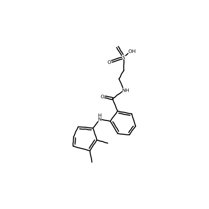 C=S(=O)(O)CCNC(=O)c1ccccc1Nc1cccc(C)c1C